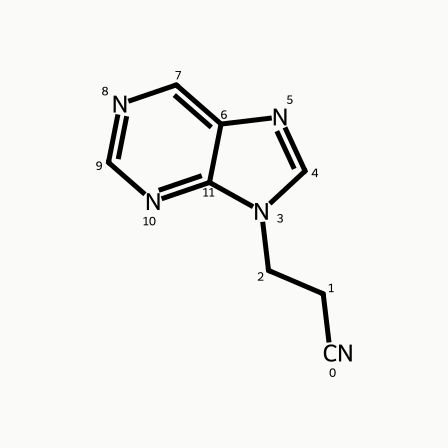 N#CCCn1cnc2cncnc21